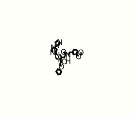 O=C(CC1CN(c2cc(-n3ccnc3)ncn2)CCN1C(=O)COc1ccccc1)NCc1ccc2c(c1)OCO2